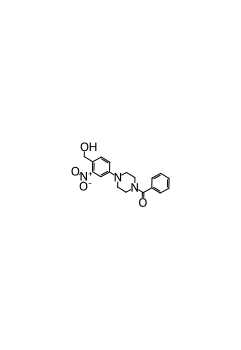 O=C(c1ccccc1)N1CCN(c2ccc(CO)c([N+](=O)[O-])c2)CC1